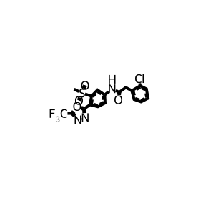 CS(=O)(=O)c1cc(NC(=O)Cc2ccccc2Cl)ccc1-c1nnc(C(F)(F)F)o1